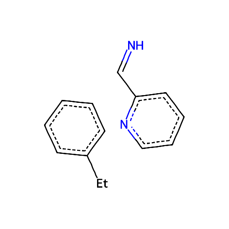 CCc1ccccc1.N=Cc1ccccn1